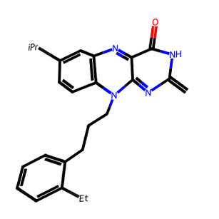 C=c1nc2c(c(=O)[nH]1)=Nc1cc(C(C)C)ccc1N2CCCc1ccccc1CC